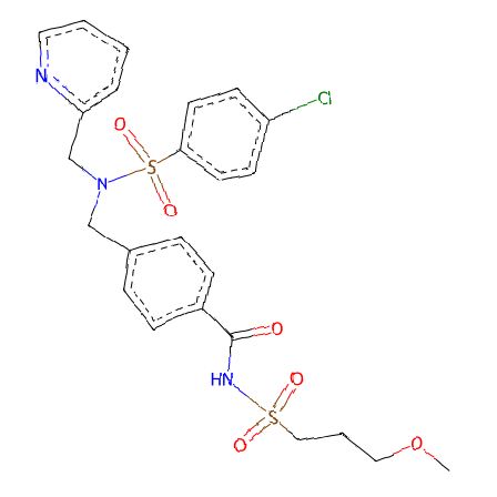 COCCCS(=O)(=O)NC(=O)c1ccc(CN(Cc2ccccn2)S(=O)(=O)c2ccc(Cl)cc2)cc1